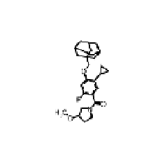 COC1CCN(C(=O)c2cc(C3CC3)c(OCC34CC5CC(CC(C5)C3)C4)cc2F)C1